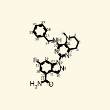 CN1CCCc2nc(-n3ncc4c(C(N)=O)cc(F)cc43)nc(NCc3ccccc3)c21